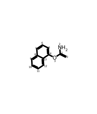 C=C(N)Oc1cccc2ccccc12